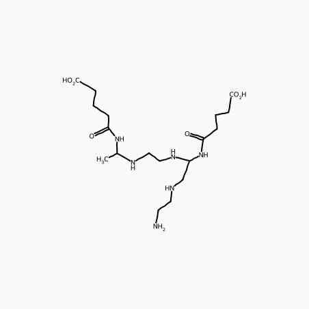 CC(NCCNC(CNCCN)NC(=O)CCCC(=O)O)NC(=O)CCCC(=O)O